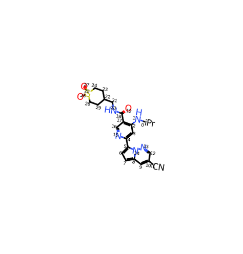 CC(C)Nc1cc(-c2ccc3cc(C#N)cnn23)ncc1C(=O)NCC1CCS(=O)(=O)CC1